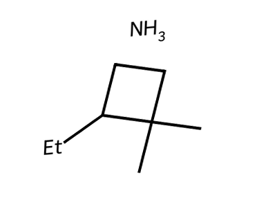 CCC1CCC1(C)C.N